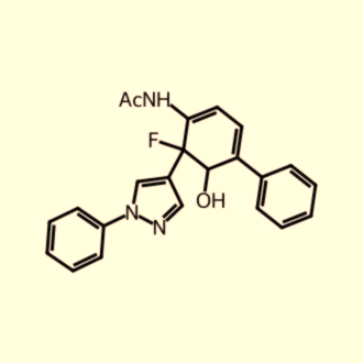 CC(=O)NC1=CC=C(c2ccccc2)C(O)C1(F)c1cnn(-c2ccccc2)c1